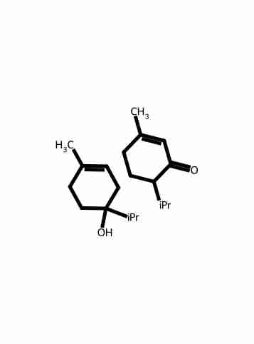 CC1=CC(=O)C(C(C)C)CC1.CC1=CCC(O)(C(C)C)CC1